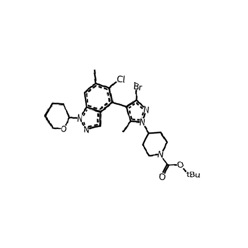 Cc1cc2c(cnn2C2CCCCO2)c(-c2c(Br)nn(C3CCN(C(=O)OC(C)(C)C)CC3)c2C)c1Cl